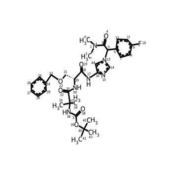 CN(C)C(=O)C(c1ccc(F)cc1)n1cnc(NC(=O)[C@@H](COCc2ccccc2)NC(=O)C(C)(C)NC(=O)OC(C)(C)C)c1